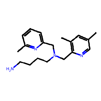 Cc1cnc(CN(CCCCN)Cc2cccc(C)n2)c(C)c1